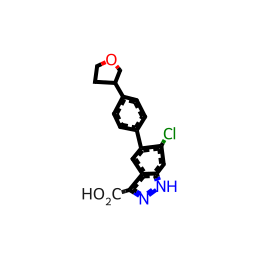 O=C(O)c1n[nH]c2cc(Cl)c(-c3ccc(C4CCOC4)cc3)cc12